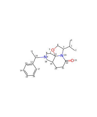 CC(C)C1COC23CCN(C(C)c4ccccc4)CC2CCC(=O)N13